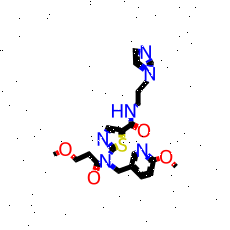 COCCC(=O)N(Cc1ccc(OC)nc1)c1ncc(C(=O)NCCCn2ccnc2)s1